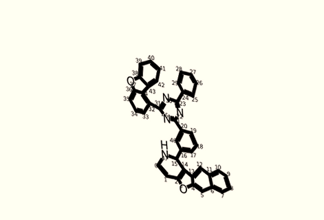 C1=Cc2oc3cc4ccccc4cc3c2C(c2cccc(-c3nc(-c4ccccc4)nc(-c4cccc5oc6ccccc6c45)n3)c2)N1